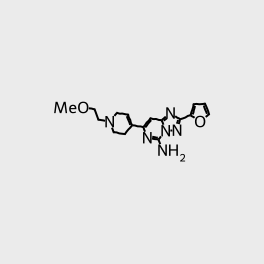 COCCN1CC=C(c2cc3nc(-c4ccco4)nn3c(N)n2)CC1